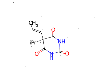 CC=CC1(C(C)C)C(=O)NC(=O)NC1=O